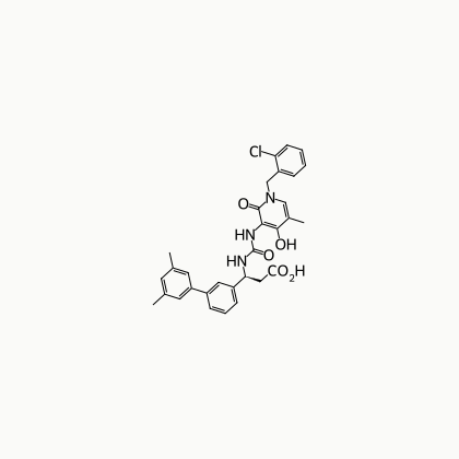 Cc1cc(C)cc(-c2cccc([C@H](CC(=O)O)NC(=O)Nc3c(O)c(C)cn(Cc4ccccc4Cl)c3=O)c2)c1